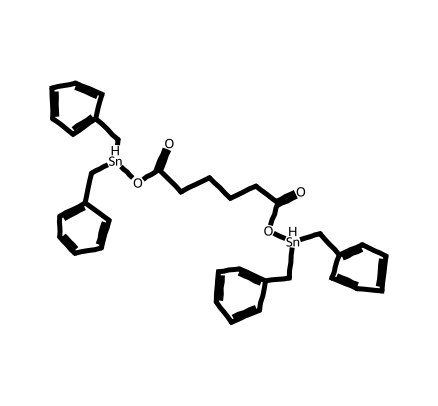 O=C(CCCCC(=O)[O][SnH]([CH2]c1ccccc1)[CH2]c1ccccc1)[O][SnH]([CH2]c1ccccc1)[CH2]c1ccccc1